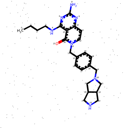 CCCCNc1nc(N)nc2ccn(Cc3ccc(CN4CC5CNCC5C4)cc3)c(=O)c12